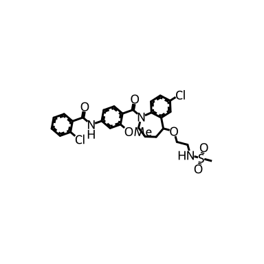 COc1cc(NC(=O)c2ccccc2Cl)ccc1C(=O)N1CCCC(OCCNS(C)(=O)=O)c2cc(Cl)ccc21